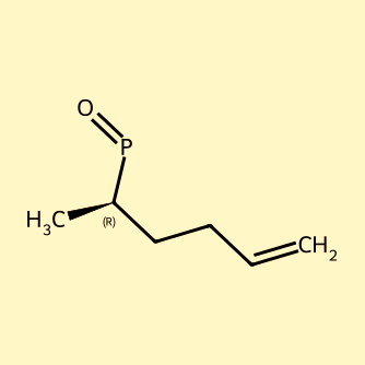 C=CCC[C@@H](C)P=O